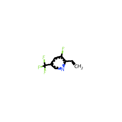 C=Cc1ncc(C(F)(F)F)cc1F